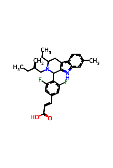 C=C(CC)CN1C(CC)Cc2c([nH]c3cc(C)ccc23)C1c1c(F)cc(/C=C/C(=O)O)cc1F